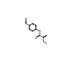 C=C(CC)C(=O)Oc1ccc(C=O)cc1